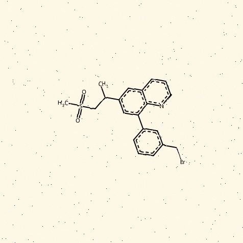 CC(CS(C)(=O)=O)c1cc(-c2cccc(CBr)c2)c2ncccc2c1